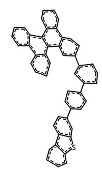 c1cc(-c2ccc(-c3ccc4c(c3)sc3ccccc34)cc2)cc(-c2ccc3c4ccccc4c4c5ccccc5c5ccccc5c4c3c2)c1